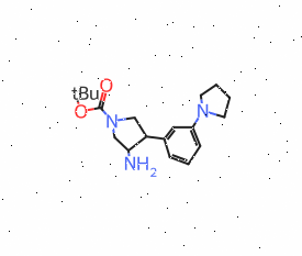 CC(C)(C)OC(=O)N1CC(N)C(c2cccc(N3CCCC3)c2)C1